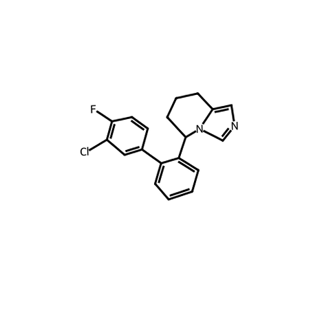 Fc1ccc(-c2ccccc2C2CCCc3cncn32)cc1Cl